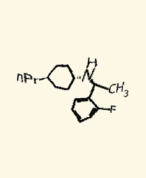 CCC[C@H]1CC[C@H](NC(C)c2ccccc2F)CC1